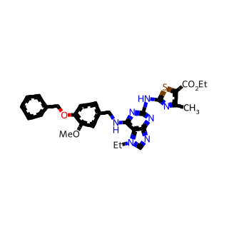 CCOC(=O)c1sc(Nc2nc(NCc3ccc(OCc4ccccc4)c(OC)c3)c3c(ncn3CC)n2)nc1C